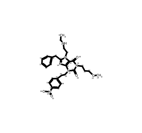 CCNCCn1c(Cc2ccccc2)nc2c1c(=O)n(CCCOC)c(=O)n2CCc1ccc([N+](=O)[O-])cc1